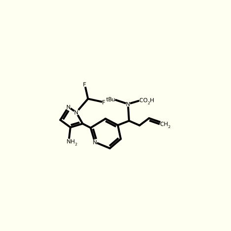 C=CCC(c1ccnc(-c2c(N)cnn2C(F)F)c1)N(C(=O)O)C(C)(C)C